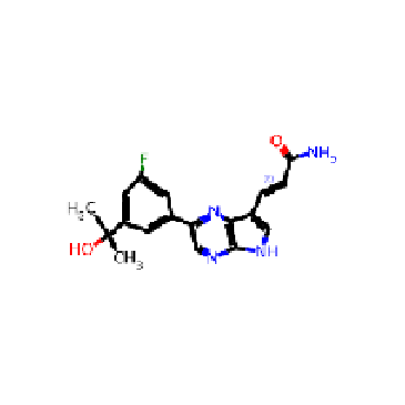 CC(C)(O)c1cc(F)cc(-c2cnc3[nH]cc(/C=C/C(N)=O)c3n2)c1